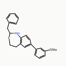 COc1cccc(-c2ccc3c(c2)CCCC(Cc2ccccc2)N3)c1